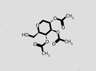 CC(=O)O[C@H]1[C@H](OC(C)=O)[C@@H](CO)OC[C@@H]1OC(C)=O